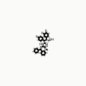 CN1C(=O)[C@@H](NC(=O)[C@H](c2ccc(F)cc2)[C@@H](CO)c2ccc(F)c(F)c2)N=C(c2ccccc2)c2ccccc21